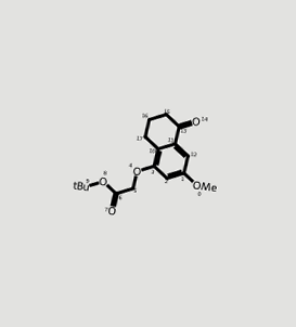 COc1cc(OCC(=O)OC(C)(C)C)c2c(c1)C(=O)CCC2